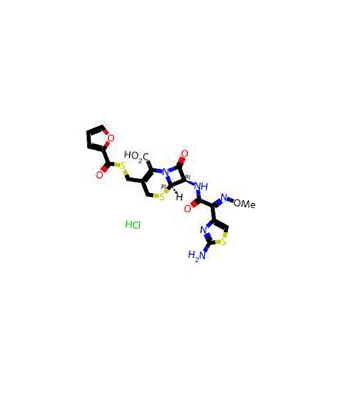 CON=C(C(=O)N[C@@H]1C(=O)N2C(C(=O)O)=C(CSC(=O)c3ccco3)CS[C@H]12)c1csc(N)n1.Cl